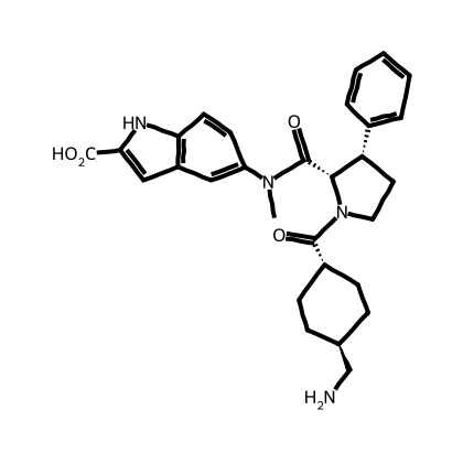 CN(C(=O)[C@@H]1[C@H](c2ccccc2)CCN1C(=O)[C@H]1CC[C@H](CN)CC1)c1ccc2[nH]c(C(=O)O)cc2c1